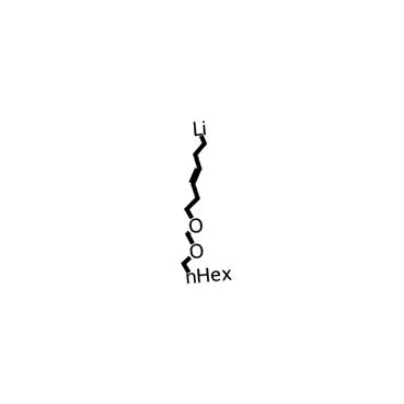 [Li][CH2]CC=CCCOCOCCCCCCC